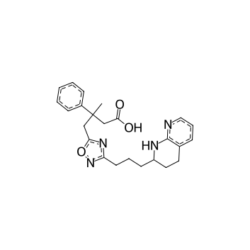 CC(CC(=O)O)(Cc1nc(CCCC2CCc3cccnc3N2)no1)c1ccccc1